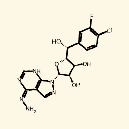 N/N=c1/nc[nH]c2c1cnn2[C@@H]1O[C@H]([C@H](O)c2ccc(Cl)c(F)c2)[C@@H](O)[C@H]1O